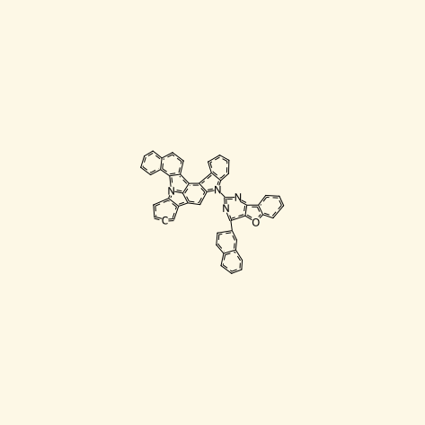 c1ccc2cc(-c3nc(-n4c5ccccc5c5c6c7ccc8ccccc8c7n7c8ccccc8c(cc54)c67)nc4c3oc3ccccc34)ccc2c1